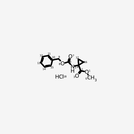 COC(=O)C1(NC(=O)OCc2ccccc2)CC1.Cl